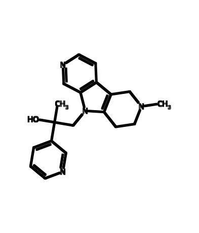 CN1CCc2c(c3ccncc3n2CC(C)(O)c2cccnc2)C1